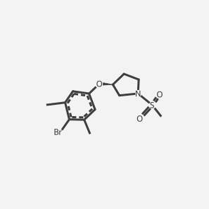 Cc1cc(O[C@H]2CCN(S(C)(=O)=O)C2)cc(C)c1Br